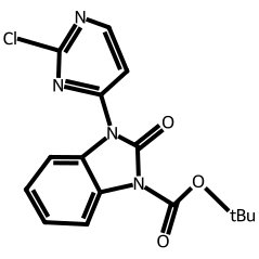 CC(C)(C)OC(=O)n1c(=O)n(-c2ccnc(Cl)n2)c2ccccc21